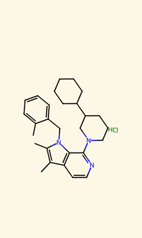 Cc1ccccc1Cn1c(C)c(C)c2ccnc(N3CCCC(C4CCCCC4)C3)c21.Cl